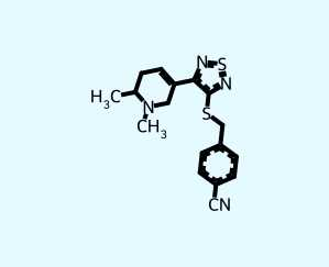 CC1CC=C(c2nsnc2SCc2ccc(C#N)cc2)CN1C